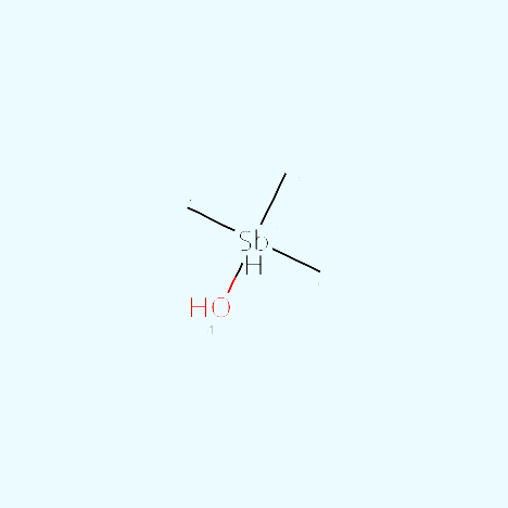 [CH3][SbH]([CH3])([CH3])[OH]